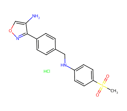 CS(=O)(=O)c1ccc(NCc2ccc(-c3nocc3N)cc2)cc1.Cl